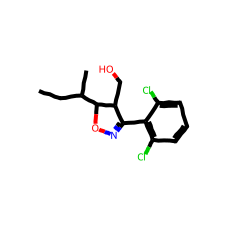 CCC(C)C1ON=C(c2c(Cl)cccc2Cl)C1CO